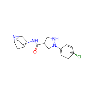 O=C(NC1CN2CCC1CC2)C1CNN(C2=CC[C@H](Cl)C=C2)C1